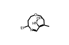 CCC1CCOCC/C(C)=C(NO)/C=N\1